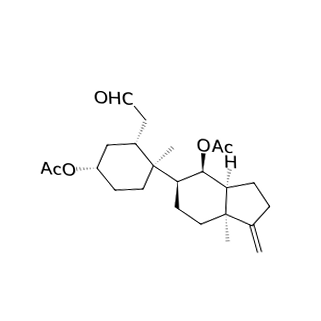 C=C1CC[C@@H]2[C@H](OC(C)=O)[C@H]([C@@]3(C)CC[C@H](OC(C)=O)C[C@@H]3CC=O)CC[C@]12C